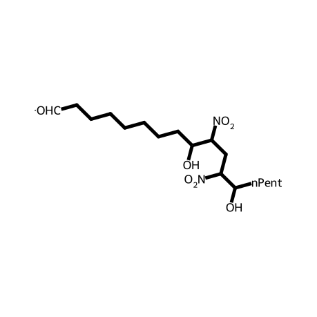 CCCCCC(O)C(CC(C(O)CCCCCCC[C]=O)[N+](=O)[O-])[N+](=O)[O-]